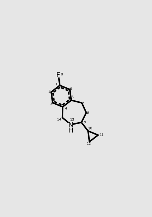 Fc1ccc2c(c1)CCC(C1CC1)NC2